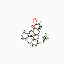 F[B-](F)(F)F.O=c1ccc2ccc([S+](c3ccccc3)c3ccccc3)cc2o1